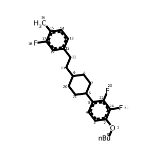 CCCCOc1ccc(C2CCC(CCc3ccc(C)c(F)c3)CC2)c(F)c1F